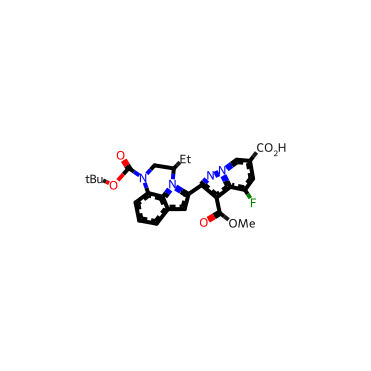 CCC1CN(C(=O)OC(C)(C)C)c2cccc3cc(-c4nn5cc(C(=O)O)cc(F)c5c4C(=O)OC)n1c23